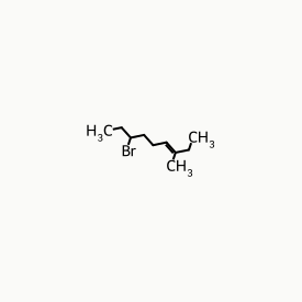 CCC(C)=CCCC(Br)CC